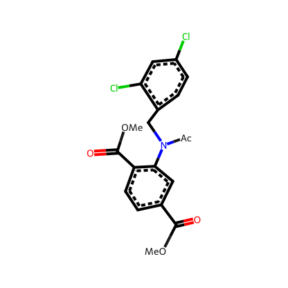 COC(=O)c1ccc(C(=O)OC)c(N(Cc2ccc(Cl)cc2Cl)C(C)=O)c1